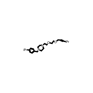 CC(C)C#CCOCCOCCN1CCN(Cc2ccc(C(C)C)cc2)CC1